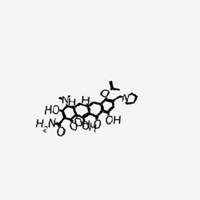 CC(C)Oc1c(CN2CCCC2)cc(O)c2c1C[C@H]1C[C@H]3[C@H](N(C)C)C(O)=C(C(N)=O)C(=O)[C@@]3(O)C(O)=C1C2=O